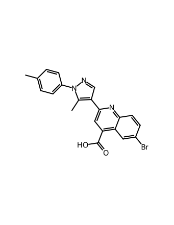 Cc1ccc(-n2ncc(-c3cc(C(=O)O)c4cc(Br)ccc4n3)c2C)cc1